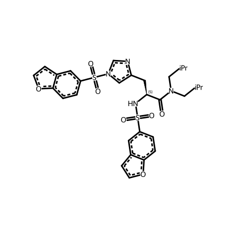 CC(C)CN(CC(C)C)C(=O)[C@H](Cc1cn(S(=O)(=O)c2ccc3occc3c2)cn1)NS(=O)(=O)c1ccc2occc2c1